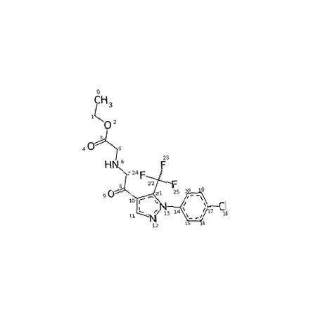 CCOC(=O)CNCC(=O)c1cnn(-c2ccc(Cl)cc2)c1C(F)(F)F